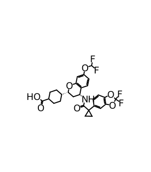 O=C(O)C1CCC([C@H]2C[C@@H](NC(=O)C3(c4ccc5c(c4)OC(F)(F)O5)CC3)c3ccc(OC(F)F)cc3O2)CC1